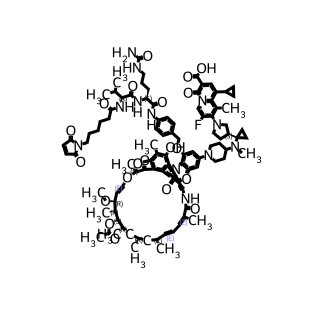 CO[C@H]1/C=C/O[C@@]2(C)Oc3c(C)c(O)c4c(=O)c(c5oc6cc(N7CCC(N(C)C8([C@H]9CCN(c%10c(F)cn%11c(=O)c(C(=O)O)cc(C%12CC%12)c%11c%10C)C9)CC8)CC7)cc(OCc7ccc(NC(=O)[C@H](CCCNC(N)=O)NC(=O)[C@@H](NC(=O)CCCCCN8C(=O)C=CC8=O)C(C)C)cc7)c6nc-5c4c3C2=O)NC(=O)/C(C)=C\C=C\[C@H](C)C[C@@H](C)C[C@@H](C)[C@H](OC(C)=O)[C@@H]1C